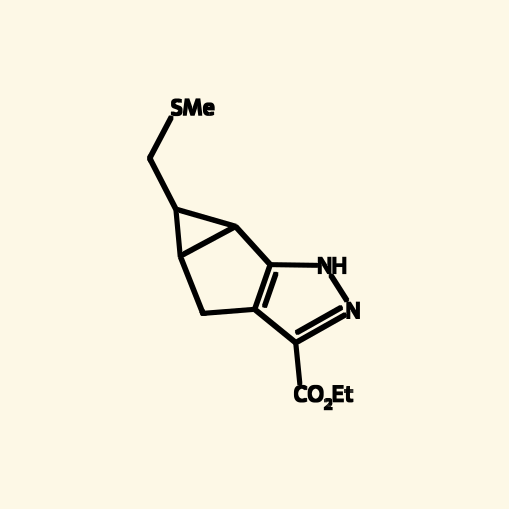 CCOC(=O)c1n[nH]c2c1CC1C(CSC)C21